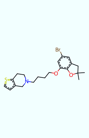 CC1(C)Cc2cc(Br)cc(OCCCCN3CCc4sccc4C3)c2O1